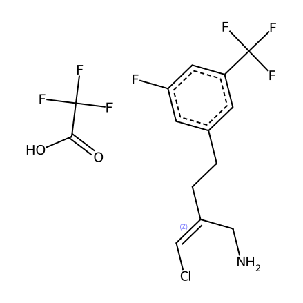 NC/C(=C\Cl)CCc1cc(F)cc(C(F)(F)F)c1.O=C(O)C(F)(F)F